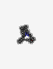 CC12c3ccc(cc3)C3(c4ccccc4)c4ccccc4-c4ccc(cc43)N(c3ccc4c(c3)C(c3ccccc3)(c3ccccc3)c3ccccc3-4)c3ccc(c1c3)-c1cc3ccccc3cc12